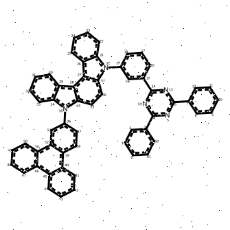 c1ccc(-c2nc(-c3ccccc3)nc(-c3cccc(-n4c5ccccc5c5c6c7ccccc7n(-c7ccc8c9ccccc9c9ccccc9c8c7)c6ccc54)c3)n2)cc1